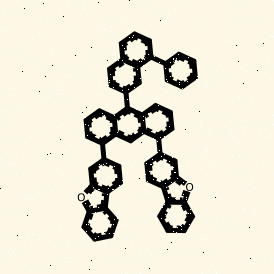 c1ccc(-c2cccc3ccc(-c4c5cccc(-c6ccc7c(c6)oc6ccccc67)c5cc5c(-c6ccc7c(c6)oc6ccccc67)cccc45)cc23)cc1